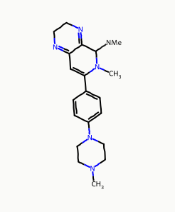 CNC1C2=NCCN=C2C=C(c2ccc(N3CCN(C)CC3)cc2)N1C